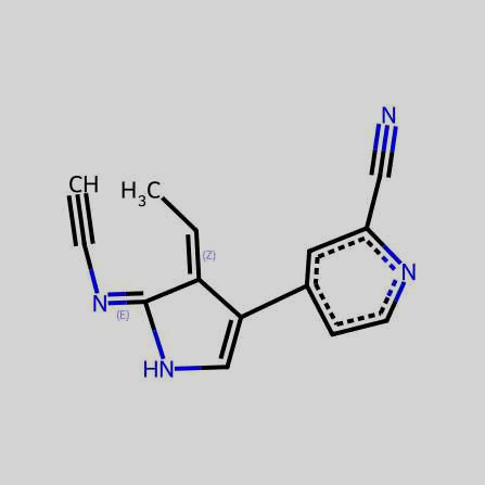 C#C/N=C1/NC=C(c2ccnc(C#N)c2)/C1=C/C